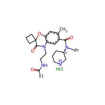 CCC(=O)NCCN1C(=O)C2(CCC2)Oc2cc(C)c(C(=O)N(C(C)C)[C@@H]3CCCNC3)cc21.Cl